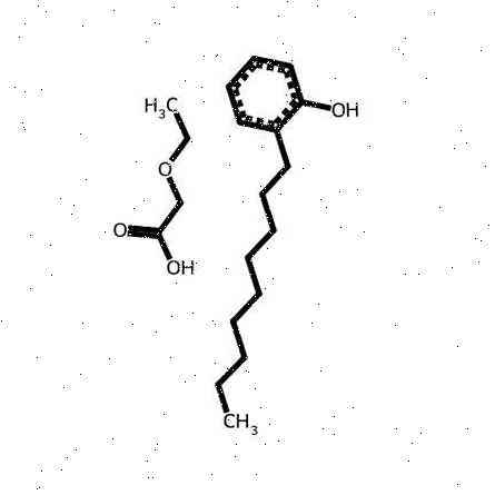 CCCCCCCCCc1ccccc1O.CCOCC(=O)O